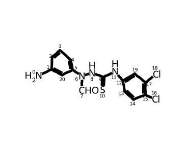 Nc1cccc(N(C=O)NC(=S)Nc2ccc(Cl)c(Cl)c2)c1